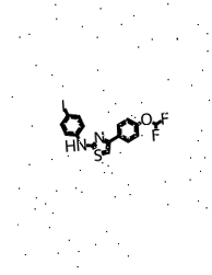 FC(F)Oc1ccc(-c2csc(Nc3ccc(I)cc3)n2)cc1